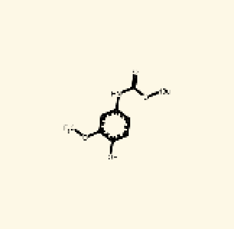 CC(C)(C)OC(=O)Nc1ccc(O)c(OC(F)(F)F)c1